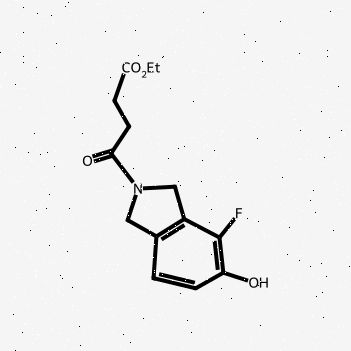 CCOC(=O)CCC(=O)N1Cc2ccc(O)c(F)c2C1